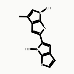 Cc1cn(O)c2sc(-c3cc4ccsc4n3O)cc12